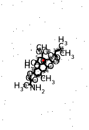 COC(=O)C12CC(O)C3C4(C)CC(=O)C(OC(=O)C(C)N)=C(C)C4CC4OC(=O)C(OC(=O)C=C(C)C)C1C43CO2